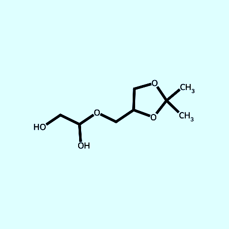 CC1(C)OCC(COC(O)CO)O1